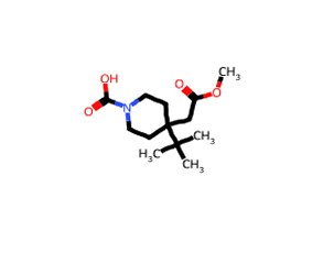 COC(=O)CC1(C(C)(C)C)CCN(C(=O)O)CC1